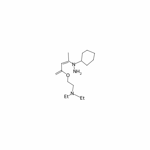 C=C(/C=C(/C)N(N)C1CCCCC1)OCCN(CC)CC